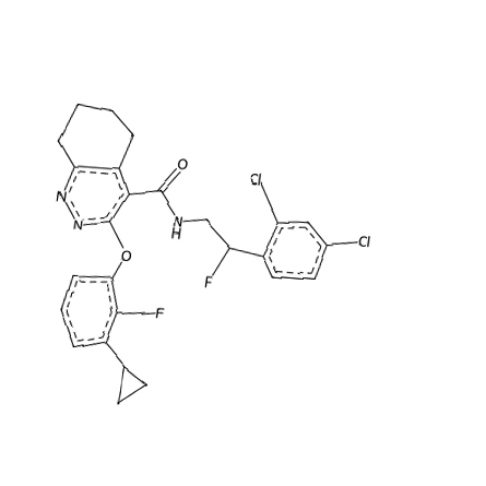 O=C(NCC(F)c1ccc(Cl)cc1Cl)c1c(Oc2cccc(C3CC3)c2F)nnc2c1CCCC2